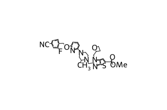 COC(=O)c1cc2c(nc(CN3CCN(c4cccc(OCc5ccc(C#N)cc5F)n4)CC3C)n2CC2CCO2)s1